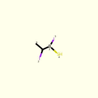 CC(I)B(S)I